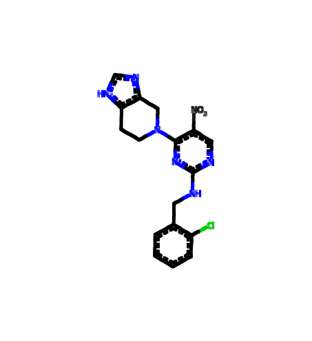 O=[N+]([O-])c1cnc(NCc2ccccc2Cl)nc1N1CCc2[nH]cnc2C1